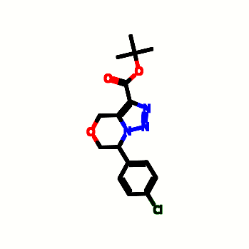 CC(C)(C)OC(=O)c1nnn2c1COCC2c1ccc(Cl)cc1